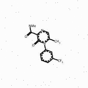 CNC(=O)c1ncc(C)n(-c2cccc(C(F)(F)F)c2)c1=O